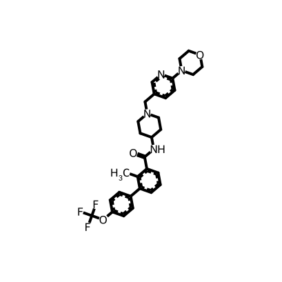 Cc1c(C(=O)NC2CCN(Cc3ccc(N4CCOCC4)nc3)CC2)cccc1-c1ccc(OC(F)(F)F)cc1